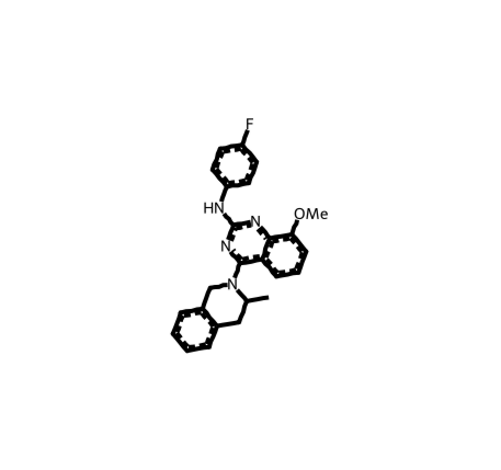 COc1cccc2c(N3Cc4ccccc4CC3C)nc(Nc3ccc(F)cc3)nc12